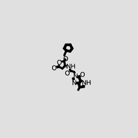 Cc1c[nH]c2c(=O)n(CC(=O)N[C@H]3CC(=O)OC3OCc3ccccc3)cnc12